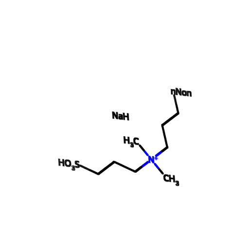 CCCCCCCCCCCC[N+](C)(C)CCCS(=O)(=O)O.[NaH]